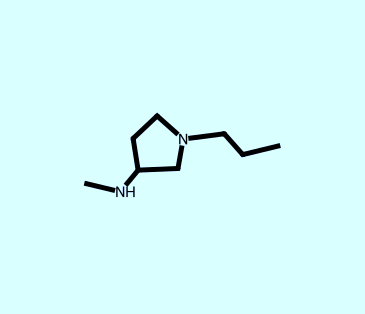 CCCN1CCC(NC)C1